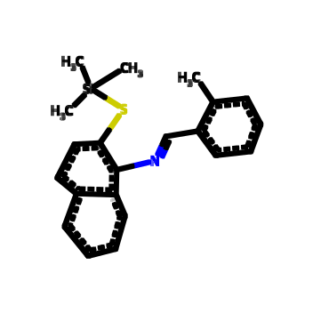 Cc1ccccc1C=Nc1c(S[Si](C)(C)C)ccc2ccccc12